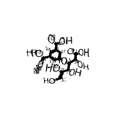 O=C(O)C(O)C(O)C(O)C(O)CO.O=C(O)c1cccc(C(=O)O)c1.[Ni].[Ni]